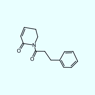 O=C1C=CCCN1C(=O)CCc1ccccc1